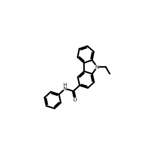 CCn1c2ccccc2c2cc(C(=O)Nc3ccccc3)ccc21